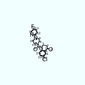 O=C1CCN(C(=O)N2CCN(c3ccc(F)cn3)CC2)c2ccc(Cl)cc21